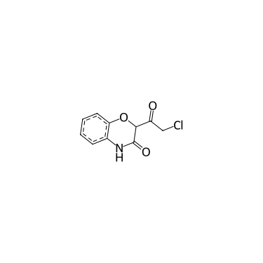 O=C(CCl)C1Oc2ccccc2NC1=O